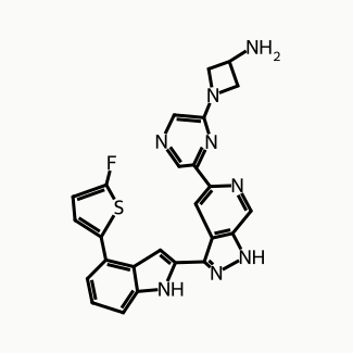 NC1CN(c2cncc(-c3cc4c(-c5cc6c(-c7ccc(F)s7)cccc6[nH]5)n[nH]c4cn3)n2)C1